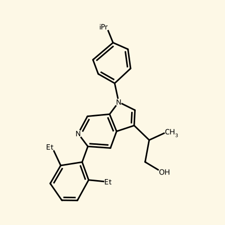 CCc1cccc(CC)c1-c1cc2c(C(C)CO)cn(-c3ccc(C(C)C)cc3)c2cn1